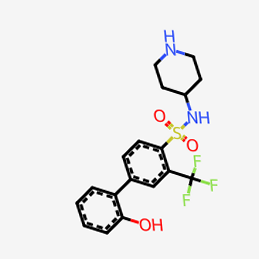 O=S(=O)(NC1CCNCC1)c1ccc(-c2ccccc2O)cc1C(F)(F)F